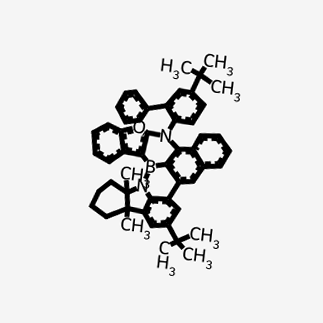 CC(C)(C)c1ccc(N2c3oc4ccccc4c3B3c4c(cc5ccccc5c42)-c2cc(C(C)(C)C)cc4c2N3C2(C)CCCCC42C)c(-c2ccccc2)c1